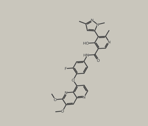 COc1cc2nccc(Oc3ccc(NC(=O)c4cnc(C)c(-c5cc(C)nn5C)c4O)cc3F)c2nc1OC